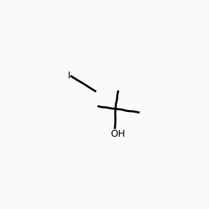 CC(C)(C)O.CI